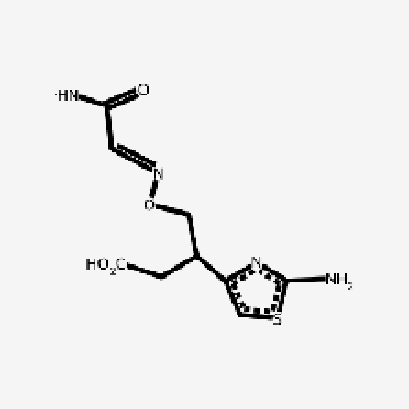 [NH]C(=O)C=NOCC(CC(=O)O)c1csc(N)n1